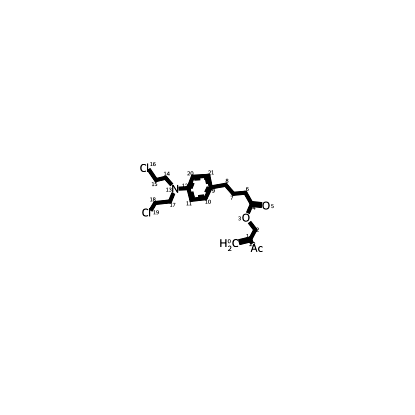 C=C(COC(=O)CCCc1ccc(N(CCCl)CCCl)cc1)C(C)=O